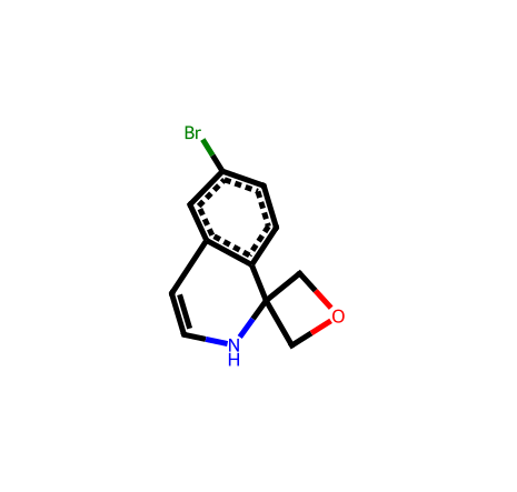 Brc1ccc2c(c1)C=CNC21COC1